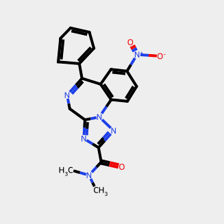 CN(C)C(=O)c1nc2n(n1)-c1ccc([N+](=O)[O-])cc1C(c1ccccc1)=NC2